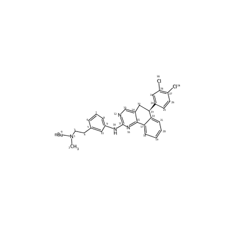 CCCCN(C)CCc1cccc(Nc2ncc3c(n2)-c2ccccc2[C@H](c2ccc(Cl)c(Cl)c2)C3)c1